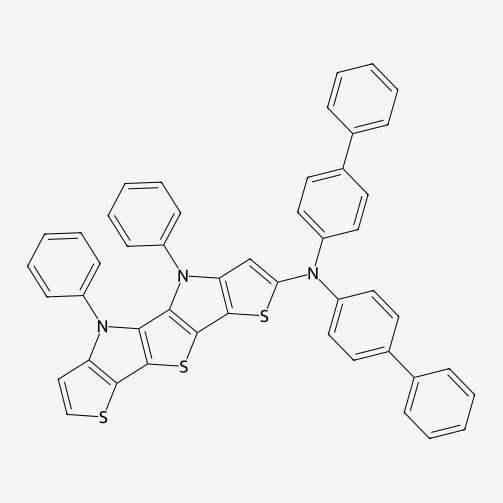 c1ccc(-c2ccc(N(c3ccc(-c4ccccc4)cc3)c3cc4c(s3)c3sc5c6sccc6n(-c6ccccc6)c5c3n4-c3ccccc3)cc2)cc1